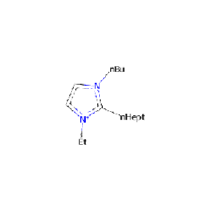 CCCCCCCc1n(CCCC)cc[n+]1CC